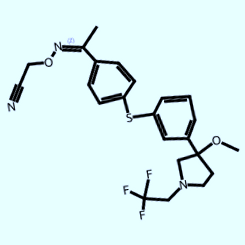 COC1(c2cccc(Sc3ccc(/C(C)=N\OCC#N)cc3)c2)CCN(CC(F)(F)F)C1